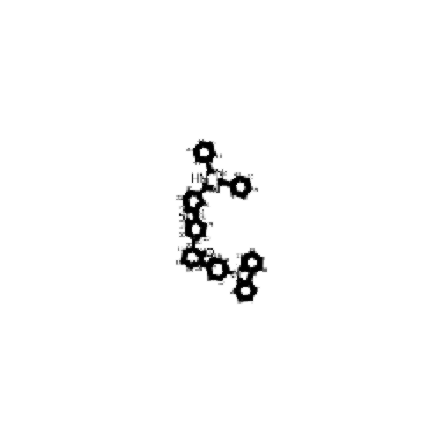 C1=C(n2c3ccccc3c3ccccc32)CCc2c1oc1c(-c3ccc4c(c3)sc3ccc(C5=NC(c6ccccc6)=NC(c6ccccc6)N5)cc34)cccc21